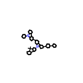 CC1(C)c2ccccc2-c2ccc(-n3c4ccc(-c5ccc(-c6ccccc6)cc5)cc4c4ccc(-c5ccc6c(c5)c5ccccc5n6-c5ccccc5)cc43)cc21